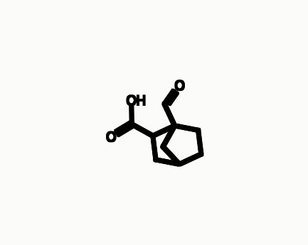 O=CC12CCC(CC1C(=O)O)C2